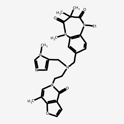 CCN1C(=O)C(C)(C)C(=O)N(C)c2cc(CN(CCn3cc(C)c4occc4c3=O)Cc3cncn3C)ccc21